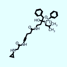 CC(C)CN(C(O)(CCNC(=O)CCC#CNC(=O)CNC1CC1)Cc1ccccc1)S(=O)(=O)c1ccccc1